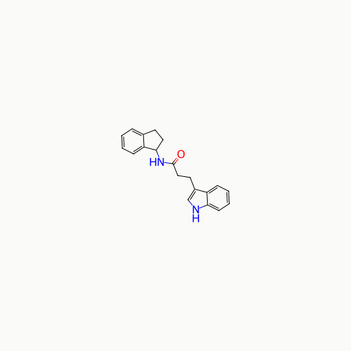 O=C(CCc1c[nH]c2ccccc12)NC1CCc2ccccc21